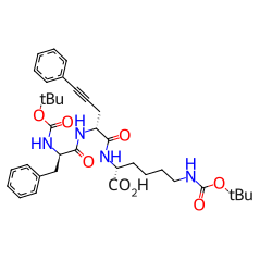 CC(C)(C)OC(=O)NCCCC[C@@H](NC(=O)[C@@H](CC#Cc1ccccc1)NC(=O)[C@@H](Cc1ccccc1)NC(=O)OC(C)(C)C)C(=O)O